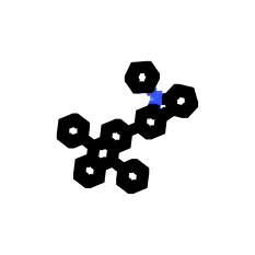 c1ccc(-c2c3ccccc3c(-c3ccccc3)c3cc(-c4ccc5c6ccccc6n(-c6ccccc6)c5c4)ccc23)cc1